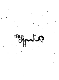 CC(C)(C)OC(=O)NCCCCNCc1ccccn1